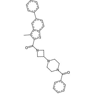 Cc1c(C(=O)N2CC(N3CCN(C(=O)c4ccccc4)CC3)C2)sc2ccc(-c3ccccc3)cc12